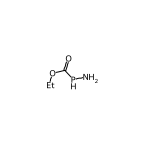 CCOC(=O)PN